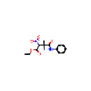 CCOC(=O)C([N+](=O)[O-])C(C)(C)C(=O)Nc1ccccc1